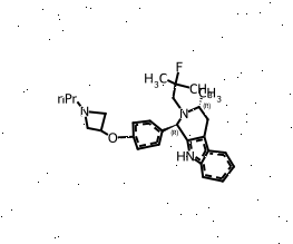 CCCN1CC(Oc2ccc([C@@H]3c4[nH]c5ccccc5c4C[C@@H](C)N3CC(C)(C)F)cc2)C1